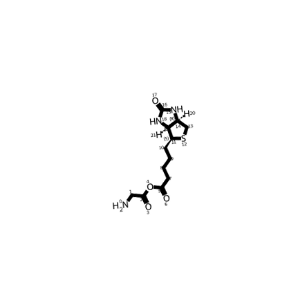 NCC(=O)OC(=O)CCCC[C@@H]1SC[C@@H]2NC(=O)N[C@@H]21